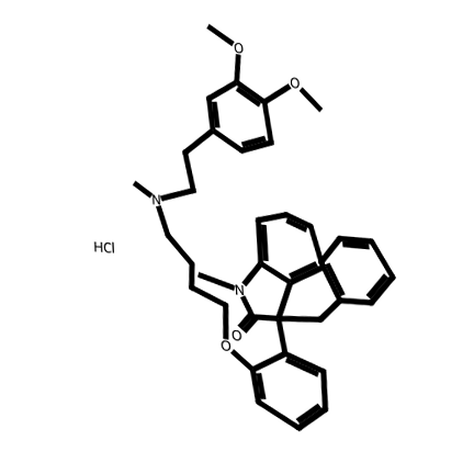 COc1ccc(CCN(C)CCCCOc2ccccc2C2(Cc3ccccc3)C(=O)N(C)c3ccccc32)cc1OC.Cl